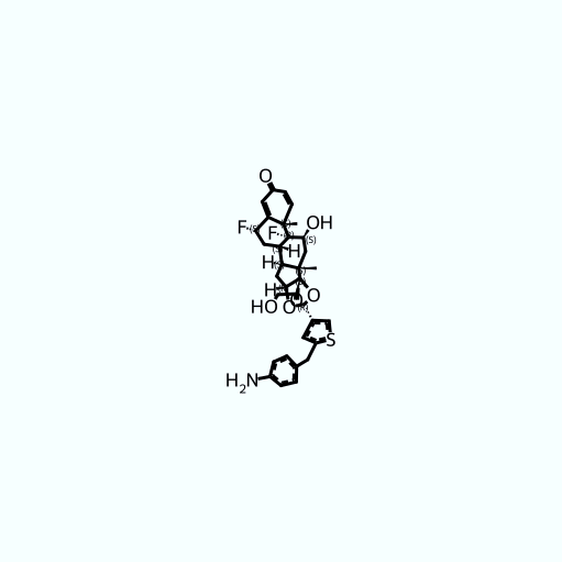 C[C@]12C=CC(=O)C=C1[C@@H](F)C[C@H]1[C@@H]3C[C@H]4O[C@@H](c5csc(Cc6ccc(N)cc6)c5)O[C@@]4(C(=O)CO)[C@@]3(C)C[C@H](O)[C@@]12F